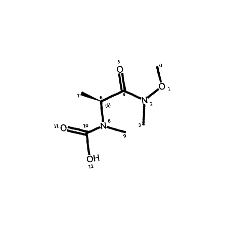 CON(C)C(=O)[C@H](C)N(C)C(=O)O